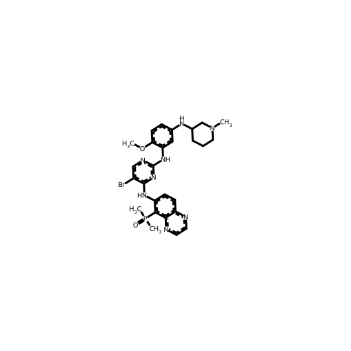 COc1ccc(NC2CCCN(C)C2)cc1Nc1ncc(Br)c(Nc2ccc3nccnc3c2P(C)(C)=O)n1